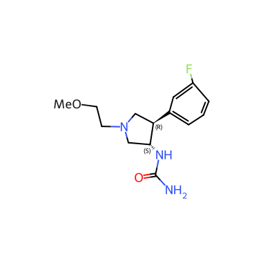 COCCN1C[C@@H](NC(N)=O)[C@H](c2cccc(F)c2)C1